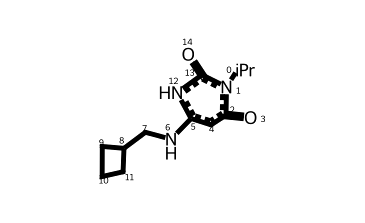 CC(C)n1c(=O)cc(NCC2CCC2)[nH]c1=O